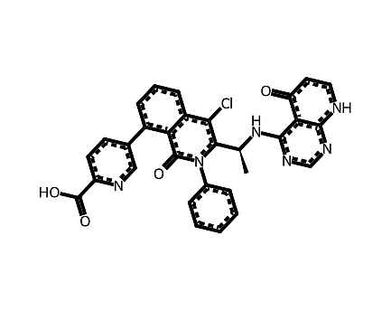 C[C@H](Nc1ncnc2[nH]ccc(=O)c12)c1c(Cl)c2cccc(-c3ccc(C(=O)O)nc3)c2c(=O)n1-c1ccccc1